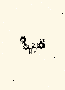 CCc1cccc(NC(=O)Nc2csc(-c3ccccn3)n2)n1